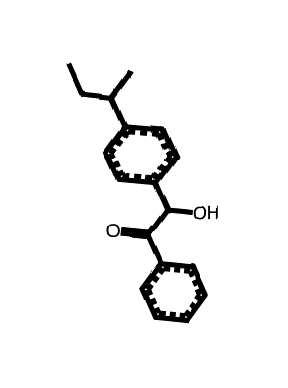 CCC(C)c1ccc(C(O)C(=O)c2ccccc2)cc1